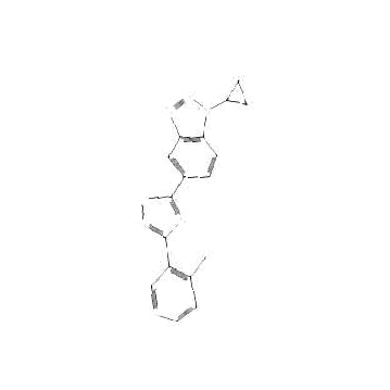 Cc1ccncc1-c1noc(-c2ccc3c(c2)nnn3C2CC2)n1